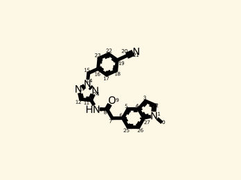 Cn1ccc2cc(CC(=O)Nc3cnn(Cc4ccc(C#N)cc4)n3)ccc21